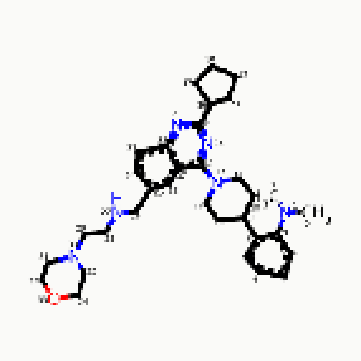 CN(C)c1ccccc1C1CCN(c2nc(C3CCCC3)nc3ccc(CNCCN4CCOCC4)cc23)CC1